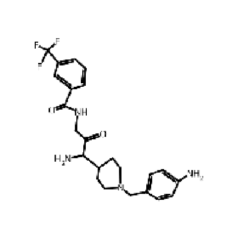 Nc1ccc(CN2CCC(C(N)C(=O)CNC(=O)c3cccc(C(F)(F)F)c3)CC2)cc1